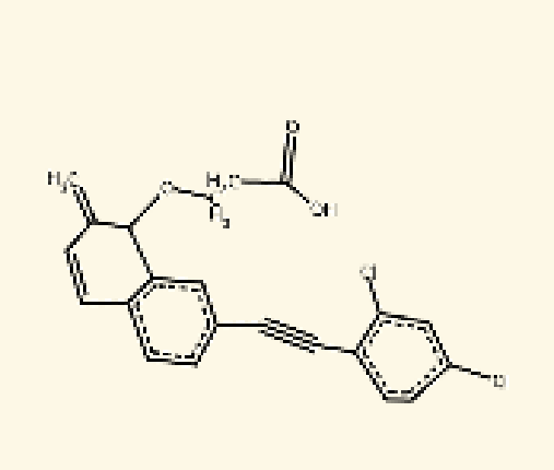 C=C1C=Cc2ccc(C#Cc3ccc(Cl)cc3Cl)cc2C1OC.CC(=O)O